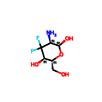 N[C@H]1[C@@H](O)O[C@H](CO)[C@@H](O)C1(F)F